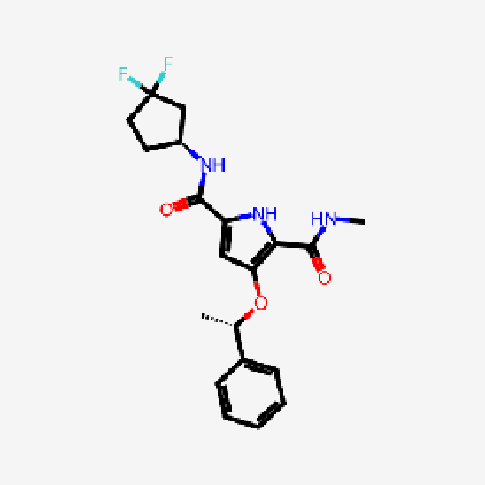 CNC(=O)c1[nH]c(C(=O)N[C@H]2CCC(F)(F)C2)cc1O[C@@H](C)c1ccccc1